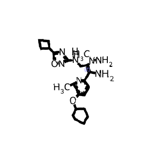 Cc1nc(/C(N)=C(\CNc2noc(C3CCC3)n2)N(C)N)ccc1OC1CCCCC1